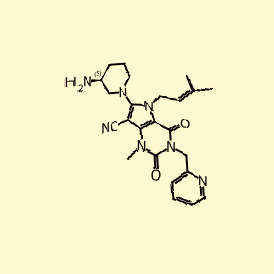 CC(C)=CCn1c(N2CCC[C@H](N)C2)c(C#N)c2c1c(=O)n(Cc1ccccn1)c(=O)n2C